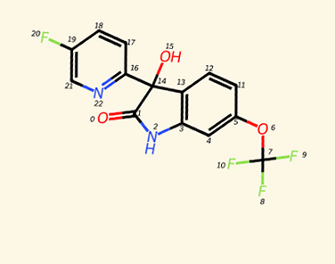 O=C1Nc2cc(OC(F)(F)F)ccc2C1(O)c1ccc(F)cn1